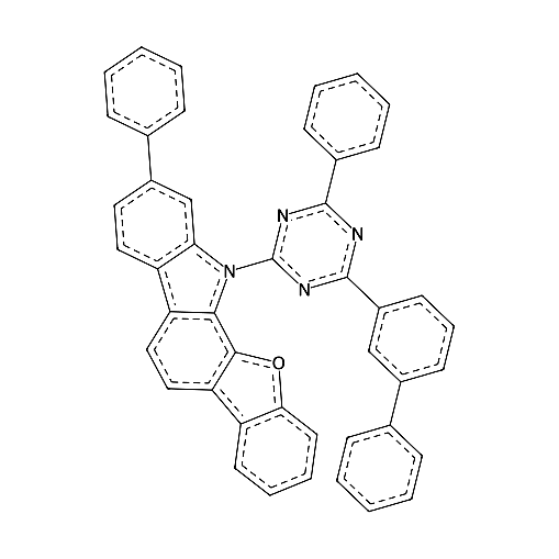 c1ccc(-c2cccc(-c3nc(-c4ccccc4)nc(-n4c5cc(-c6ccccc6)ccc5c5ccc6c7ccccc7oc6c54)n3)c2)cc1